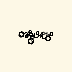 CN(Cc1cccc(Cl)c1)C(=O)Cc1nc(S(=O)(=O)Cc2ccccc2)c2ccccn12